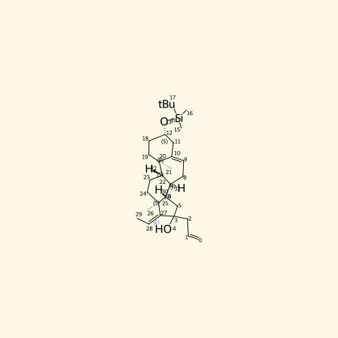 C=CCC1(O)C[C@H]2[C@@H]3CC=C4C[C@@H](O[Si](C)(C)C(C)(C)C)CC[C@]4(C)[C@H]3CC[C@]2(C)/C1=C\C